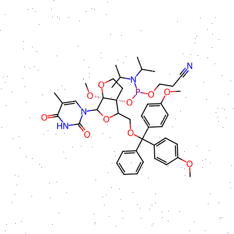 COc1ccc(C(OCC2OC(n3cc(C)c(=O)[nH]c3=O)[C@@]3(OC)OCC[C@@]23OP(OCCC#N)N(C(C)C)C(C)C)(c2ccccc2)c2ccc(OC)cc2)cc1